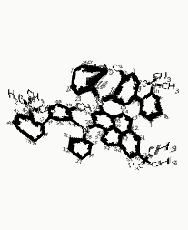 Cc1ccc(-c2ccccc2[Si](C)(C)C)cc1N(c1ccccc1)c1cc(N(c2ccccc2)c2cc(-c3ccccc3S(C)(C)C)ccc2C)c2ccc3cc(C(C)(C)C)cc4ccc1c2c43